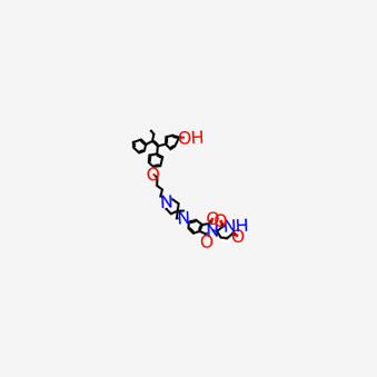 CCC(=C(c1ccc(O)cc1)c1ccc(OCCCCN2CCC3(CC2)CN(c2ccc4c(c2)C(=O)N(C2CCC(=O)NC2=O)C4=O)C3)cc1)c1ccccc1